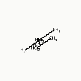 CCCCCCCCCCCC(=O)NC(CN)CCCCCCCCCC.CCCCCCCCCCCC(=O)O